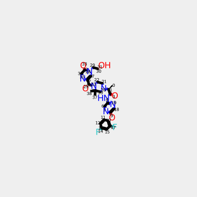 C[C@@H](C(=O)Nc1cnc(Oc2ccc(F)cc2F)cn1)N1CCN(C(=O)c2cn(CCO)c(=O)cn2)C(C)(C)C1